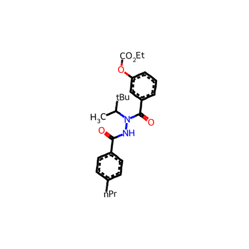 CCCc1ccc(C(=O)NN(C(=O)c2cccc(OC(=O)OCC)c2)C(C)C(C)(C)C)cc1